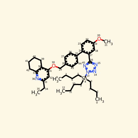 CCC[CH2][Sn]([CH2]CCC)([CH2]CCC)[n]1nnc(-c2cc(OC)ccc2-c2ccc(COc3cc(CC)nc4c3CCCC4)cc2)n1